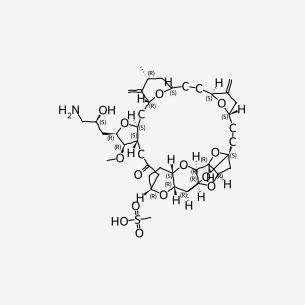 C=C1C[C@@H]2CC[C@@]34C[C@H]5O[C@@H]6[C@@H](O[C@H]7CC[C@H](CC(=O)C[C@@H]8[C@@H](OC)[C@@H](C[C@H](O)CN)O[C@H]8C[C@H]8O[C@@H](CC[C@@H]1O2)C[C@@H](C)C8=C)O[C@H]7[C@H]6O3)[C@@H]5O4.CS(=O)(=O)O